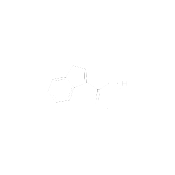 C=C(C(=O)O)C1=CCc2ccccc21